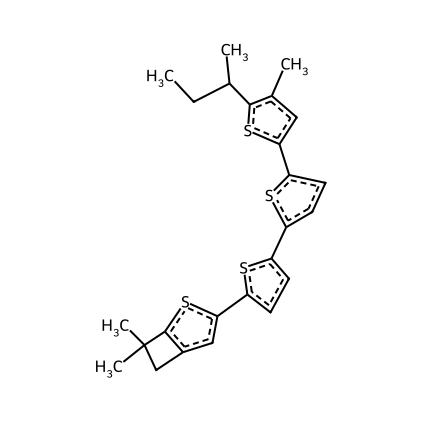 CCC(C)c1sc(-c2ccc(-c3ccc(-c4cc5c(s4)C(C)(C)C5)s3)s2)cc1C